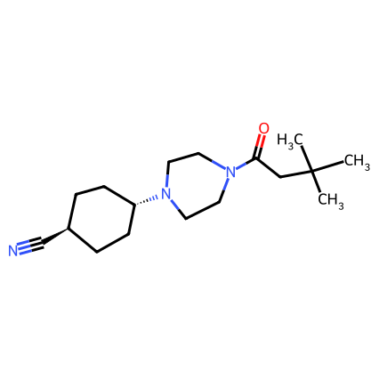 CC(C)(C)CC(=O)N1CCN([C@H]2CC[C@H](C#N)CC2)CC1